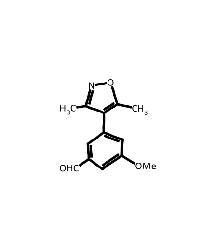 COc1cc(C=O)cc(-c2c(C)noc2C)c1